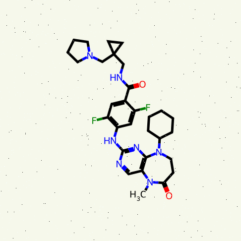 CN1C(=O)CCN(C2CCCCC2)c2nc(Nc3cc(F)c(C(=O)NCC4(CN5CCCC5)CC4)cc3F)ncc21